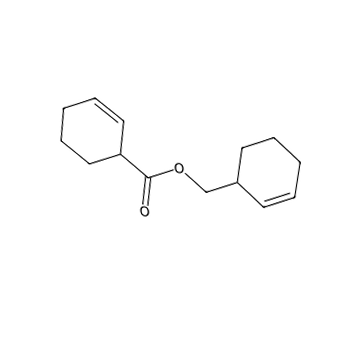 O=C(OCC1C=CCCC1)C1C=CCCC1